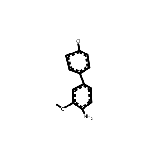 COc1cc(-c2ccc(Cl)cc2)ccc1N